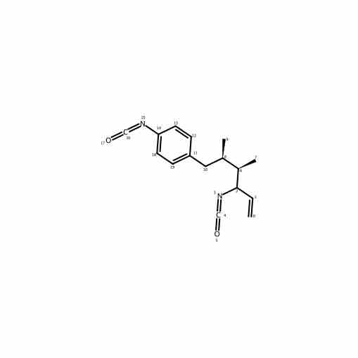 C=CC(N=C=O)[C@H](C)[C@H](C)Cc1ccc(N=C=O)cc1